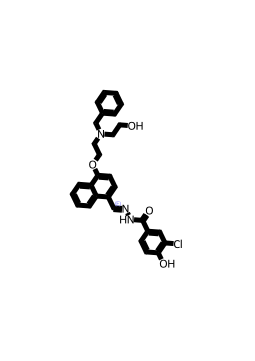 O=C(N/N=C/c1ccc(OCCN(CCO)Cc2ccccc2)c2ccccc12)c1ccc(O)c(Cl)c1